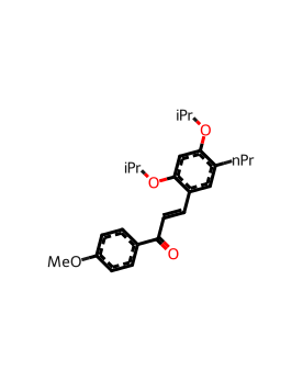 CCCc1cc(C=CC(=O)c2ccc(OC)cc2)c(OC(C)C)cc1OC(C)C